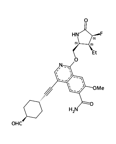 CC[C@@H]1[C@H](F)C(=O)N[C@@H]1COc1ncc(C#C[C@H]2CC[C@H](C=O)CC2)c2cc(C(N)=O)c(OC)cc12